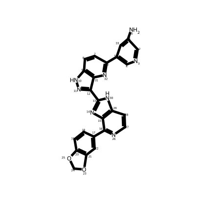 Nc1cncc(-c2ccc3[nH]nc(-c4nc5c(-c6ccc7c(c6)OCO7)nccc5[nH]4)c3n2)c1